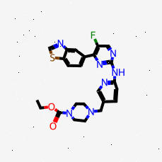 CCOC(=O)N1CCN(Cc2ccc(Nc3ncc(F)c(-c4ccc5scnc5c4)n3)nc2)CC1